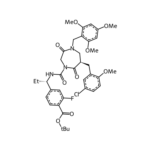 CC[C@H](NC(=O)N1CC(=O)N(Cc2c(OC)cc(OC)cc2OC)C[C@@H](Cc2cc(Cl)ccc2OC)C1=O)c1ccc(C(=O)OC(C)(C)C)c(F)c1